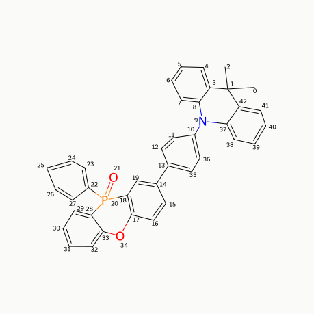 CC1(C)c2ccccc2N(c2ccc(-c3ccc4c(c3)P(=O)(c3ccccc3)c3ccccc3O4)cc2)c2ccccc21